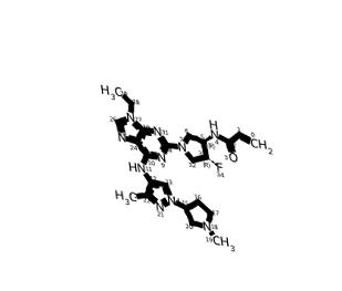 C=CC(=O)N[C@@H]1CN(c2nc(Nc3cn(C4CCN(C)C4)nc3C)c3ncn(CC)c3n2)C[C@H]1F